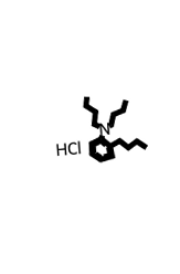 CCCCc1ccccc1N(CCCC)CCCC.Cl